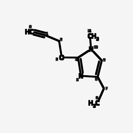 C#CCOc1nc(CC)cn1C